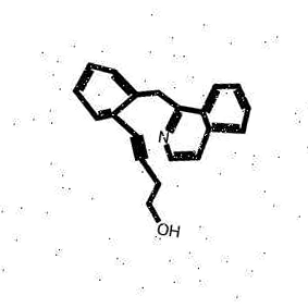 OCCC#Cc1ccccc1Cc1nccc2ccccc12